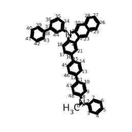 CN(c1ccccc1)c1ccc(-c2ccc(-c3ccc4c(c3)c3cc5ccccc5cc3n4-c3cccc(-c4ccccc4)c3)cc2)cc1